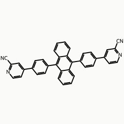 N#Cc1cc(-c2ccc(-c3c4ccccc4c(-c4ccc(-c5ccnc(C#N)c5)cc4)c4ccccc34)cc2)ccn1